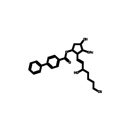 CC(=O)OC1C(O)CC(OC(=O)c2ccc(-c3ccccc3)cc2)C1C=CC(O)CCCCC#N